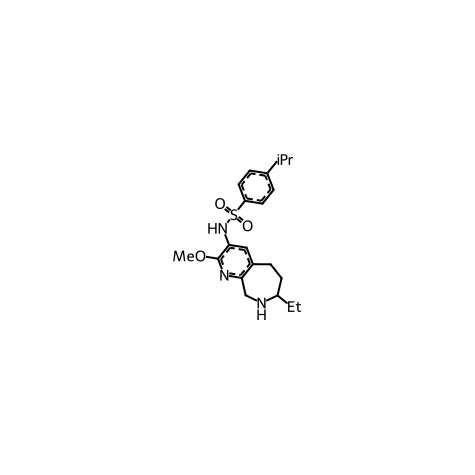 CCC1CCc2cc(NS(=O)(=O)c3ccc(C(C)C)cc3)c(OC)nc2CN1